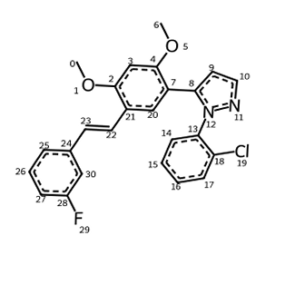 COc1cc(OC)c(-c2ccnn2-c2ccccc2Cl)cc1C=Cc1cccc(F)c1